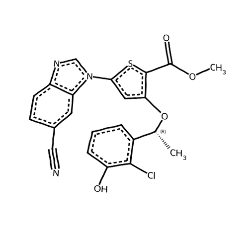 COC(=O)c1sc(-n2cnc3ccc(C#N)cc32)cc1O[C@H](C)c1cccc(O)c1Cl